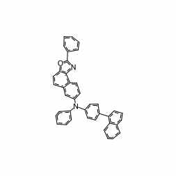 c1ccc(-c2nc3c(ccc4cc(N(c5ccccc5)c5ccc(-c6cccc7ccccc67)cc5)ccc43)o2)cc1